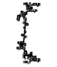 Cc1cc(-c2ccc(NC(=O)C(N)CCCCNC(=O)CCOCCOCCC(=O)NCC3CCC(C(=O)N[C@@H](Cc4ccc5ccccc5c4)C(=O)NCCCC[C@H](NC(=O)NC(CCC(=O)O)C(=O)O)C(=O)O)CC3)c(C)c2)ccc1NNc1ccc2c(S(=O)(=O)O)cc(S(=O)(=O)O)c(N)c2c1O